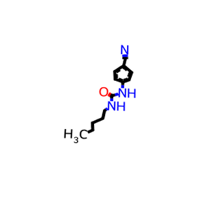 CCCCCNC(=O)Nc1ccc(C#N)cc1